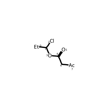 CCC(Cl)OC(=O)CC(C)=O